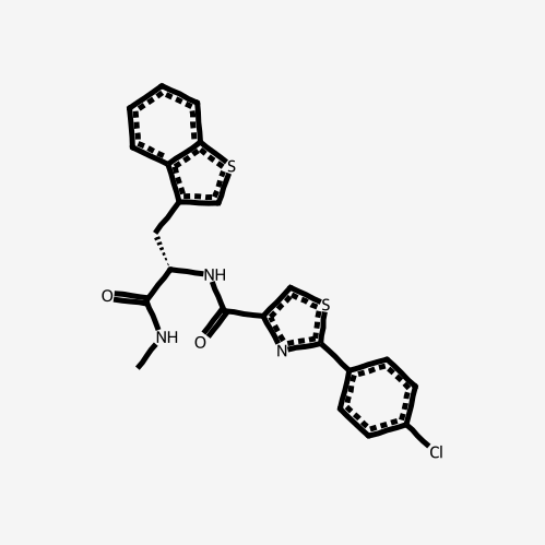 CNC(=O)[C@H](Cc1csc2ccccc12)NC(=O)c1csc(-c2ccc(Cl)cc2)n1